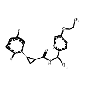 CC(NC(=O)[C@H]1C[C@@H]1c1cc(F)ccc1F)c1ccc(OCC(F)(F)F)cn1